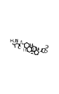 CC(C)[C@@H](N)C(=O)N(C)[C@@H]1CC[C@]2(C)[C@H](CC[C@@H]3[C@H]2CC[C@]2(C)[C@@H](C4=CC(=O)OC4)CC[C@@]32O)C1